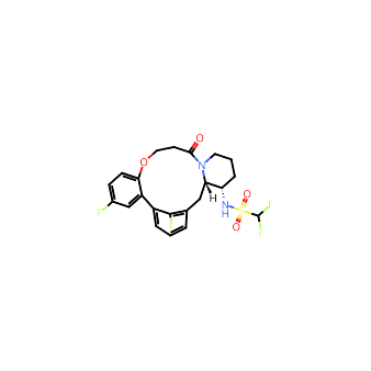 O=C1CCOc2ccc(F)cc2-c2cccc(c2F)C[C@H]2[C@@H](NS(=O)(=O)C(F)F)CCCN12